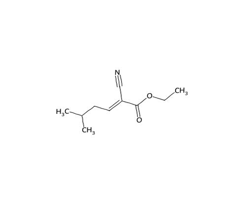 CCOC(=O)C(C#N)=CCC(C)C